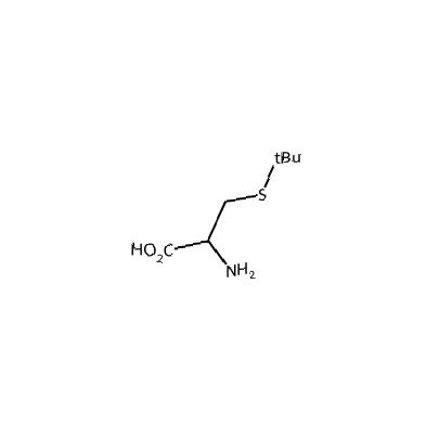 CC(C)(C)SCC(N)C(=O)O